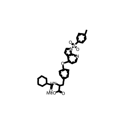 COC(=O)C(Cc1ccc(Oc2ccnc3c2ccn3S(=O)(=O)c2ccc(C)cc2)cc1)NC(=O)C1CCCCC1